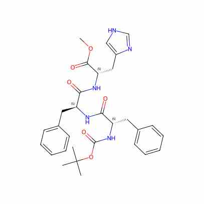 COC(=O)[C@H](Cc1c[nH]cn1)NC(=O)[C@H](Cc1ccccc1)NC(=O)[C@H](Cc1ccccc1)NC(=O)OC(C)(C)C